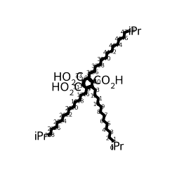 CC(C)CCCCCCCCCCCCCc1c(CCCCCCCCCCCCCC(C)C)c(C(=O)O)c(C(=O)O)c(CCCCCCCCCCCCCC(C)C)c1C(=O)O